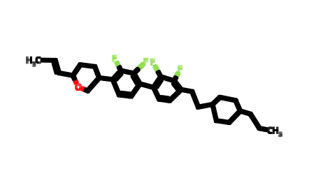 C/C=C/C1CCC(c2ccc(-c3ccc(CCC4CCC(CCC)CC4)c(F)c3F)c(F)c2F)CO1